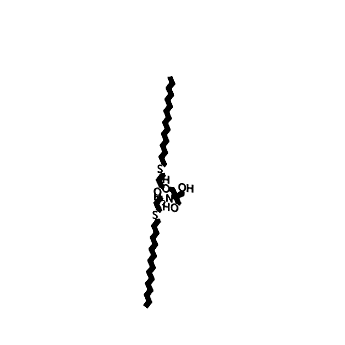 CCCCCCCCCCCCCCCCSCCCOCCCSCCCCCCCCCCCCCCCC.NC(CO)(CO)CO